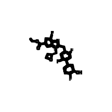 CCOC(=O)c1cc(F)c2nc(Cc3cc(F)c(-c4ccc(F)c(O)c4)cc3F)n(C[C@@H]3CCO3)c2c1